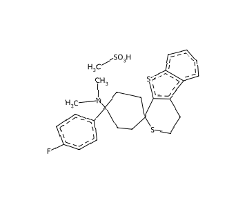 CN(C)C1(c2ccc(F)cc2)CCC2(CC1)SCCc1c2sc2ccccc12.CS(=O)(=O)O